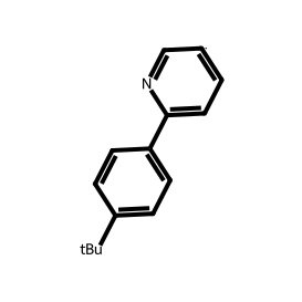 CC(C)(C)c1ccc(-c2cc[c]cn2)cc1